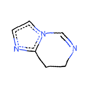 C1=NCCc2nccn21